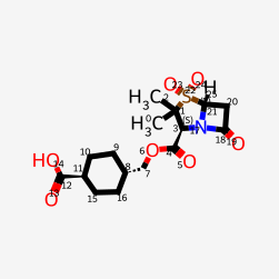 CC1(C)[C@H](C(=O)OC[C@H]2CC[C@H](C(=O)O)CC2)N2C(=O)C[C@H]2S1(=O)=O